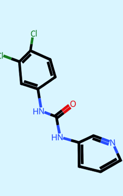 O=C(Nc1cccnc1)Nc1ccc(Cl)c(Cl)c1